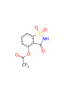 O=C1NS(=O)(=O)c2cccc(OC(=O)C(F)(F)F)c21